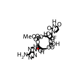 COOP1(=O)OC[C@H]2O[C@@H](n3ccc(=O)[nH]c3=O)[C@H](F)[C@@H]2OP(=O)(O)OC[C@H]2O[C@@H](n3cnc4c(N)ncnc43)[C@H](O1)[C@@H]2F